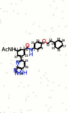 CC(=O)Nc1cc(C(=O)Nc2ccc(OCCc3ccccc3)cc2)cc(-c2ccc3[nH]nnc3n2)c1